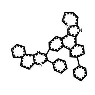 c1ccc(-c2ccc3c(c2)c2cc(-c4nc5c(ccc6ccccc65)nc4-c4ccccc4)ccc2c2c3nc3ccccn32)cc1